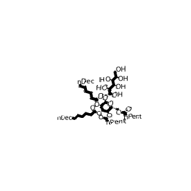 CCCCCCCCCCCCCCCC(=O)O[C@@H]1[C@H](OC(=O)CCCCCCCCCCCCCCC)[C@@H](OC(O)[C@@H](O)[C@@H](O)[C@H](O)[C@H](O)CO)O[C@H](COC(=O)CCCCC)[C@H]1OC(=O)CCCCC